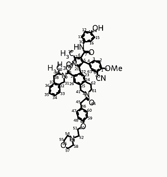 COc1ccc(-c2c(C(=O)Nc3ccc(O)cc3)c(C)n(C)c2-c2cc3c(cc2C(=O)N2Cc4ccccc4C[C@H]2C)CN(C(=O)Cc2ccc(OCCN4CCOCC4)cc2)CC3)cc1C#N